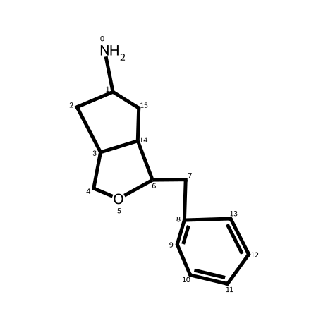 NC1CC2COC(Cc3ccccc3)C2C1